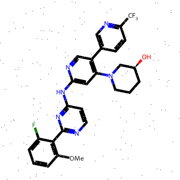 COc1cccc(F)c1-c1nccc(Nc2cc(N3CCC[C@H](O)C3)c(-c3ccc(C(F)(F)F)nc3)cn2)n1